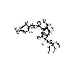 CC[Si](CC)(CC)O[C@H](C)[C@H]1C(=O)N2C(C(=O)OCc3ccc(OC)cc3)=C(CI)[C@H](C)C12